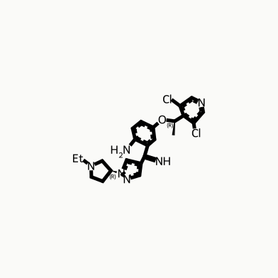 CCN1CC[C@@H](n2cc(C(=N)c3cc(O[C@H](C)c4c(Cl)cncc4Cl)ccc3N)cn2)C1